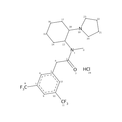 CN(C(=O)Cc1cc(C(F)(F)F)cc(C(F)(F)F)c1)C1CCCCC1N1CCCC1.Cl